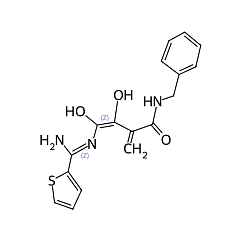 C=C(C(=O)NCc1ccccc1)/C(O)=C(O)\N=C(/N)c1cccs1